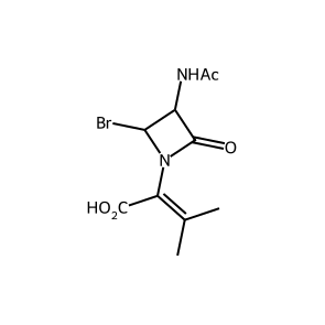 CC(=O)NC1C(=O)N(C(C(=O)O)=C(C)C)C1Br